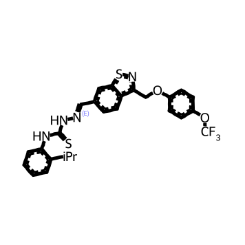 CC(C)c1ccccc1NC(=S)N/N=C/c1ccc2c(COc3ccc(OC(F)(F)F)cc3)nsc2c1